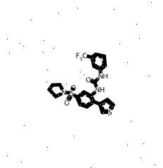 O=C(Nc1cccc(C(F)(F)F)c1)Nc1cc(S(=O)(=O)N2CCCC2)ccc1-c1ccsc1